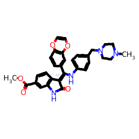 COC(=O)c1ccc2c(c1)NC(=O)/C2=C(\Nc1ccc(CN2CCN(C)CC2)cc1)c1ccc2c(c1)OC=CO2